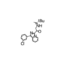 C[C@@H](NCC(=O)c1nc(-c2cccc(Cl)c2)c2ccccn12)C(C)(C)C